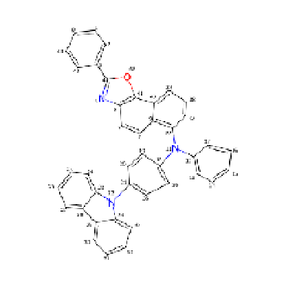 c1ccc(-c2nc3ccc4c(N(c5ccccc5)c5ccc(-n6c7ccccc7c7ccccc76)cc5)cccc4c3o2)cc1